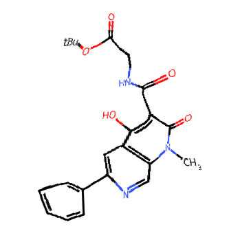 Cn1c(=O)c(C(=O)NCC(=O)OC(C)(C)C)c(O)c2cc(-c3ccccc3)ncc21